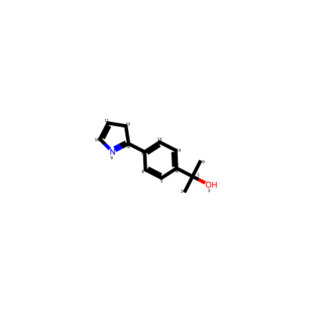 CC(C)(O)c1ccc(C2=NC=CC2)cc1